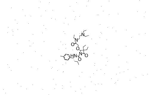 CCC[C@@H](NC(=O)N1C(=O)C(CC)(CC)[C@@H]1OCC(=O)N(CC)CCN(CC)CC)c1ccc(C)cc1